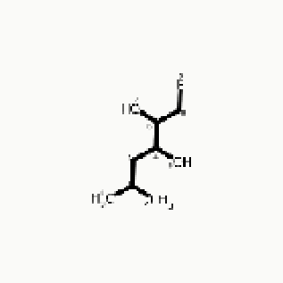 CC(C)CC(O)C(O)CF